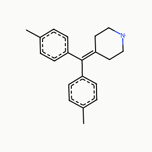 Cc1ccc(C(=C2CC[N]CC2)c2ccc(C)cc2)cc1